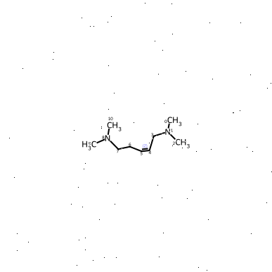 CN(C)C/C=C\CCN(C)C